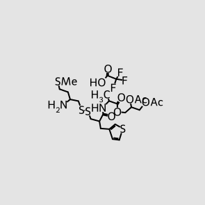 CSCCC(N)CSSCC(Cc1ccsc1)C(=O)NC(C)C(=O)OCC(COC(C)=O)OC(C)=O.O=C(O)C(F)(F)F